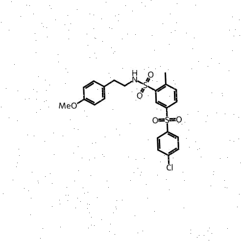 COc1ccc(CCNS(=O)(=O)c2cc(S(=O)(=O)c3ccc(Cl)cc3)ccc2C)cc1